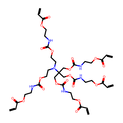 C=CC(=O)OCCNC(=O)OCCN(CCOC(=O)NCCOC(=O)C=C)C(COC(=O)NCCOC(=O)C=C)(COC(=O)NCCOC(=O)C=C)COC(=O)NCCOC(=O)C=C